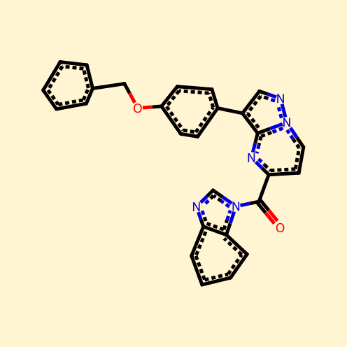 O=C(c1ccn2ncc(-c3ccc(OCc4ccccc4)cc3)c2n1)n1cnc2ccccc21